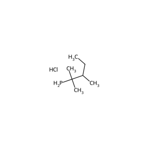 CCC(C)C(C)(C)P.Cl